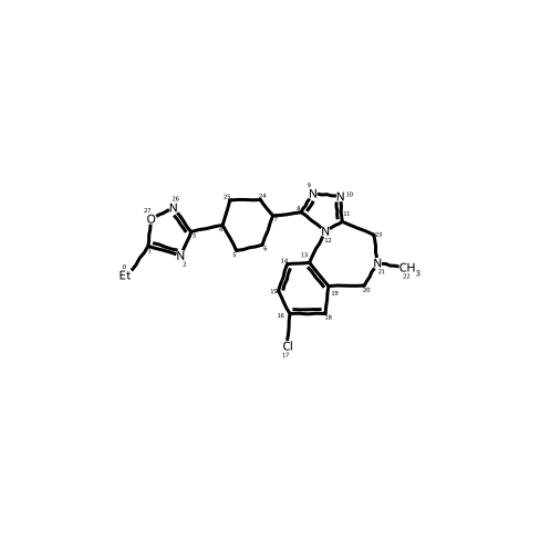 CCc1nc(C2CCC(c3nnc4n3-c3ccc(Cl)cc3CN(C)C4)CC2)no1